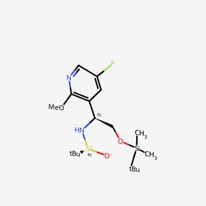 COc1ncc(F)cc1[C@@H](CO[Si](C)(C)C(C)(C)C)N[S@@+]([O-])C(C)(C)C